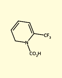 O=C(O)N1CC=CC=C1C(F)(F)F